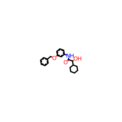 O=C(Nc1cccc(OCc2ccccc2)c1)C(O)C1CCCCC1